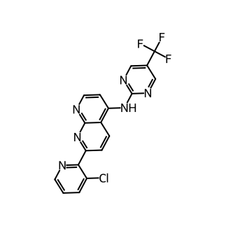 FC(F)(F)c1cnc(Nc2ccnc3nc(-c4ncccc4Cl)ccc23)nc1